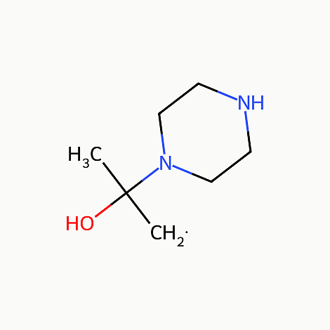 [CH2]C(C)(O)N1CCNCC1